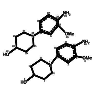 COc1cc(N2CCC(O)CC2)ccc1N.COc1cc(N2CCC(O)CC2)ccc1N